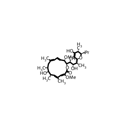 CO/C1=C\C(C)=C\[C@@H](C)[C@@H](O)[C@@H](C)C/C(C)=C/C=C/[C@H](OC)[C@@H]([C@@H](C)[C@@H](O)[C@H](C)[C@H]2C=C(O)[C@H](C)[C@@H](C(C)C)O2)OC1=O